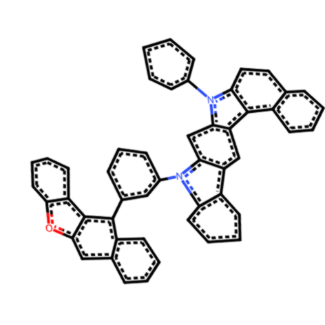 c1ccc(-n2c3cc4c(cc3c3c5ccccc5ccc32)c2ccccc2n4-c2cccc(-c3c4ccccc4cc4oc5ccccc5c34)c2)cc1